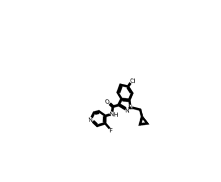 O=C(Nc1ccncc1F)c1nn(CC2CC2)c2cc(Cl)ccc12